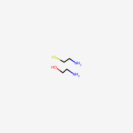 NCCO.NCCS